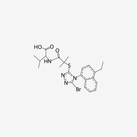 CCc1ccc(-n2c(Br)nnc2SC(C)(C)C(=O)NC(C(=O)O)C(C)C)c2ccccc12